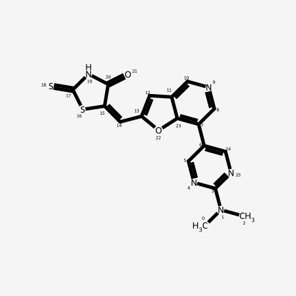 CN(C)c1ncc(-c2cncc3cc(/C=C4/SC(=S)NC4=O)oc23)cn1